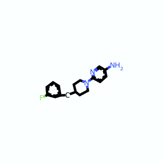 Nc1ccc(N2CCC(Cc3cccc(F)c3)CC2)nc1